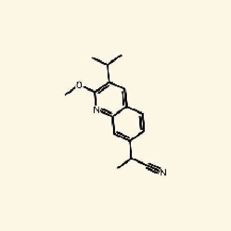 COc1nc2cc(C(C)C#N)ccc2cc1C(C)C